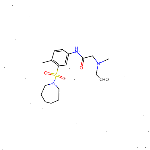 Cc1ccc(NC(=O)CN(C)CC=O)cc1S(=O)(=O)N1CCCCCC1